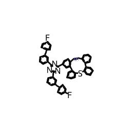 Fc1ccc(-c2cccc(-c3nc(-c4cccc(-c5ccc(F)cc5)c4)nc(-c4ccc5c(c4)-c4ccccc4Sc4ccccc4-c4ccccc4/C=C\5)n3)c2)cc1